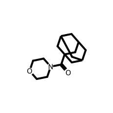 O=C(N1CCOCC1)C12CC3CC(CC(C3)C1)C2